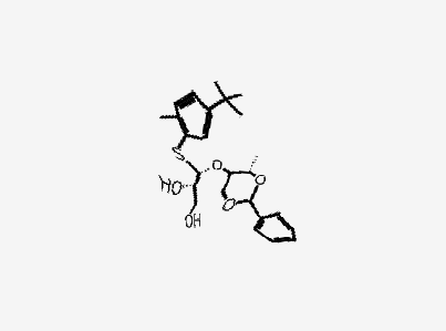 Cc1ccc(C(C)(C)C)cc1S[C@H](OC1COC(c2ccccc2)O[C@H]1C)[C@@H](O)CO